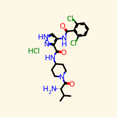 CC(C)[C@H](N)C(=O)N1CCC(NC(=O)c2n[nH]cc2NC(=O)c2c(Cl)cccc2Cl)CC1.Cl